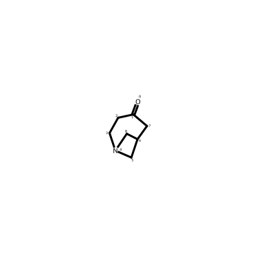 O=C1CCN2CC(C1)C2